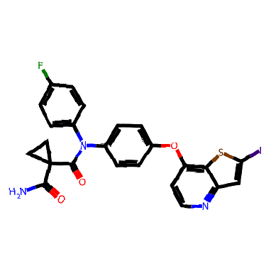 NC(=O)C1(C(=O)N(c2ccc(F)cc2)c2ccc(Oc3ccnc4cc(I)sc34)cc2)CC1